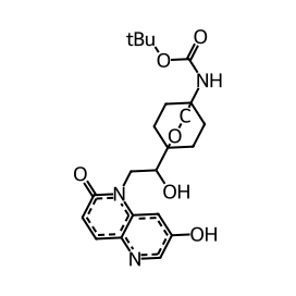 CC(C)(C)OC(=O)NC12CCC(C(O)Cn3c(=O)ccc4ncc(O)cc43)(CC1)OC2